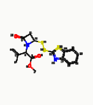 C=C(C)C(C(=O)OC)N1C(=O)CC1SSc1nc2ccccc2s1